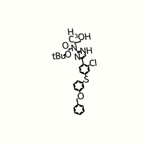 CC(CO)N(C(=O)OC(C)(C)C)c1nc(-c2ccc(Sc3cccc(OCc4ccccc4)c3)cc2Cl)c[nH]1